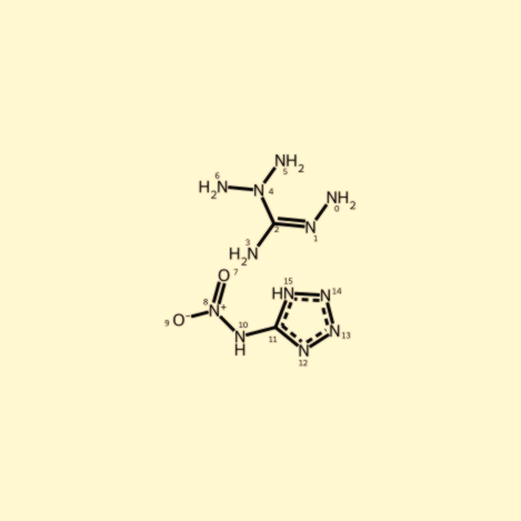 NN=C(N)N(N)N.O=[N+]([O-])Nc1nnn[nH]1